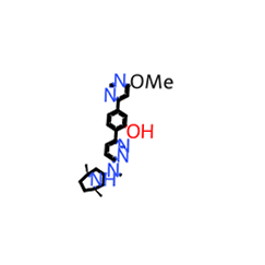 COc1cc(-c2ccc(-c3ccc(N(C)[C@@H]4C[C@]5(C)CC[C@](C)(C4)N5)nn3)c(O)c2)ncn1